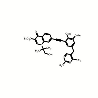 CCOC(=O)c1cn(C(C)(C)CO)c2cc(C#Cc3cc(Cc4cnc(N)nc4N)cc(OC)c3OC)ccc2c1=O